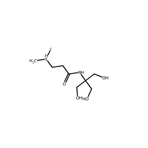 C[SH](I)CCC(=O)NC(CO)(CO)CO